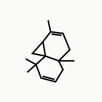 CC1=CCC2(C)CC=CC(C)(C)C23CC13